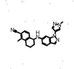 Cc1c(C#N)ccc2c1CCCC2Nc1ccc2cnn(-c3cnn(C)c3)c2c1